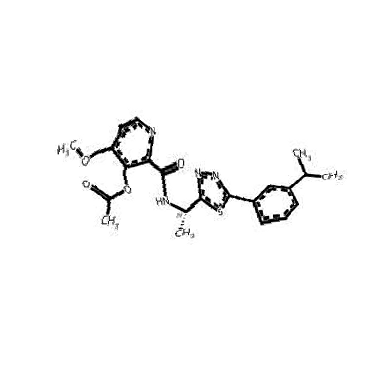 COc1ccnc(C(=O)N[C@@H](C)c2nnc(-c3cccc(C(C)C)c3)s2)c1OC(C)=O